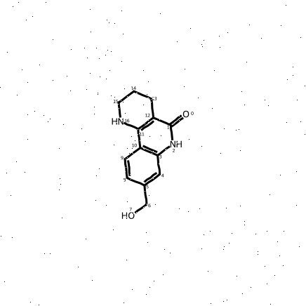 O=c1[nH]c2cc(CO)ccc2c2c1CCCN2